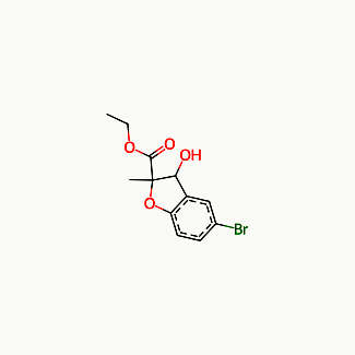 CCOC(=O)C1(C)Oc2ccc(Br)cc2C1O